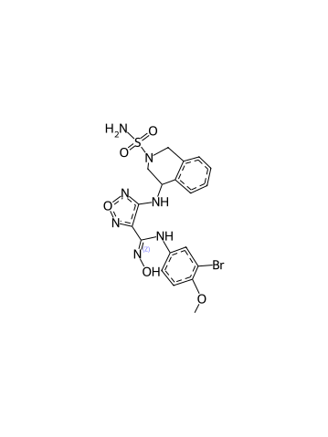 COc1ccc(N/C(=N\O)c2nonc2NC2CN(S(N)(=O)=O)Cc3ccccc32)cc1Br